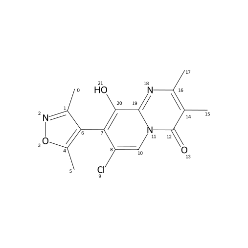 Cc1noc(C)c1-c1c(Cl)cn2c(=O)c(C)c(C)nc2c1O